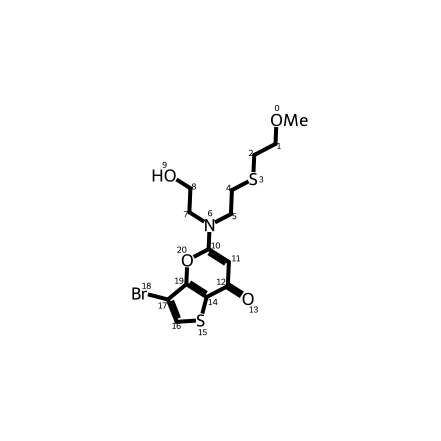 COCCSCCN(CCO)c1cc(=O)c2scc(Br)c2o1